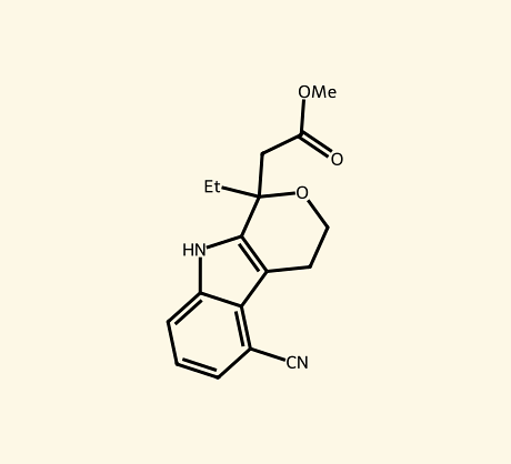 CCC1(CC(=O)OC)OCCc2c1[nH]c1cccc(C#N)c21